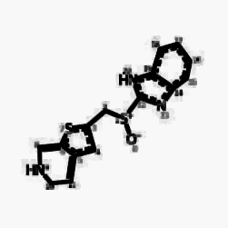 [O-][S+](Cc1cc2c(s1)=CNCC=2)c1nc2ccccc2[nH]1